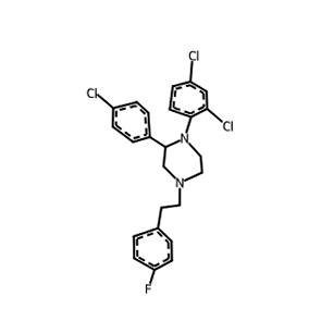 Fc1ccc(CCN2CCN(c3ccc(Cl)cc3Cl)C(c3ccc(Cl)cc3)C2)cc1